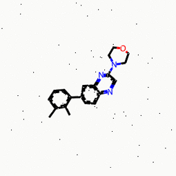 Cc1cccc(-c2ccc3ncc(N4CCOCC4)nc3c2)c1C